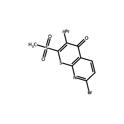 CCCc1c(S(C)(=O)=O)sc2nc(Br)ccc2c1=O